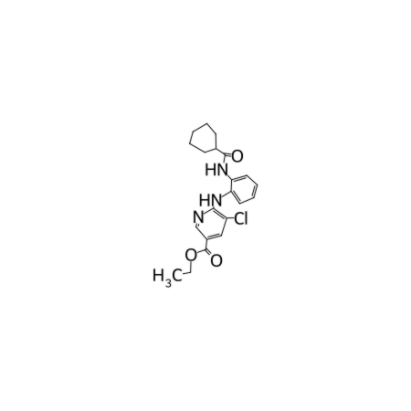 CCOC(=O)c1cnc(Nc2ccccc2NC(=O)C2CCCCC2)c(Cl)c1